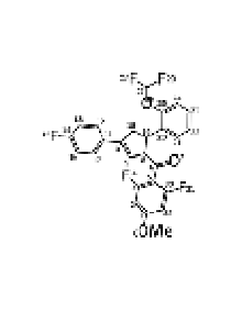 COc1cc(F)c(C(=O)C2C=C(c3ccc(F)cc3)CC2c2ccccc2OC(F)F)c(F)c1